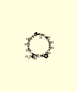 NC(=O)C1CCNCCNCCNCCN2CCC2CNCCNCCNCCNCCNC2(CCCC2)CNCCN1